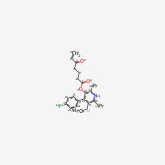 C=CC(=O)CCCC(=O)Oc1c(C(C)C)nc(C(C)C)c(COC)c1-c1ccc(F)cc1